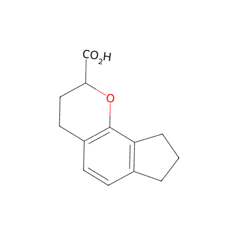 O=C(O)C1CCc2ccc3c(c2O1)CCC3